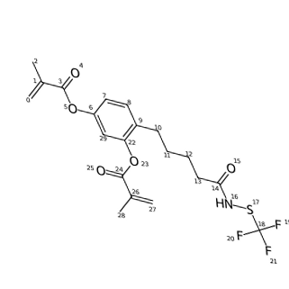 C=C(C)C(=O)Oc1ccc(CCCCC(=O)NSC(F)(F)F)c(OC(=O)C(=C)C)c1